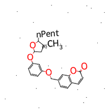 CCCCCC1OC(Oc2cccc(OCc3ccc4ccc(=O)oc4c3)c2)C[C@H]1C